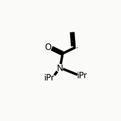 C=[C]C(=O)N(C(C)C)C(C)C